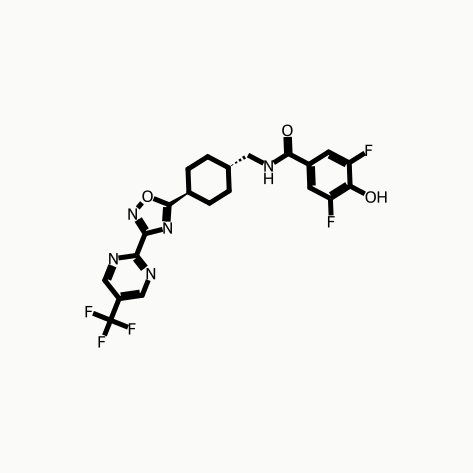 O=C(NC[C@H]1CC[C@H](c2nc(-c3ncc(C(F)(F)F)cn3)no2)CC1)c1cc(F)c(O)c(F)c1